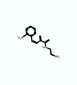 C=C(/C=C\c1ccccc1N)C(=C)NCCN